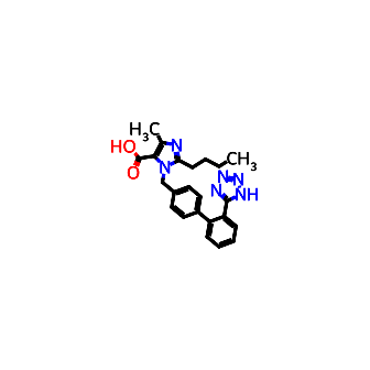 CCCCc1nc(C)c(C(=O)O)n1Cc1ccc(-c2ccccc2-c2nnn[nH]2)cc1